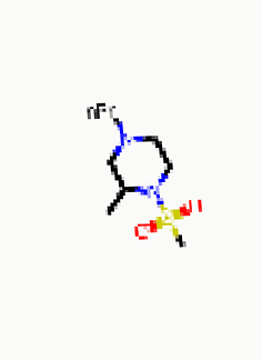 CCCN1CCN(S(C)(=O)=O)C(C)C1